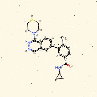 Cc1ccc(C(=O)NC2CC2)cc1-c1ccc2c(N3CCSCC3)nncc2c1